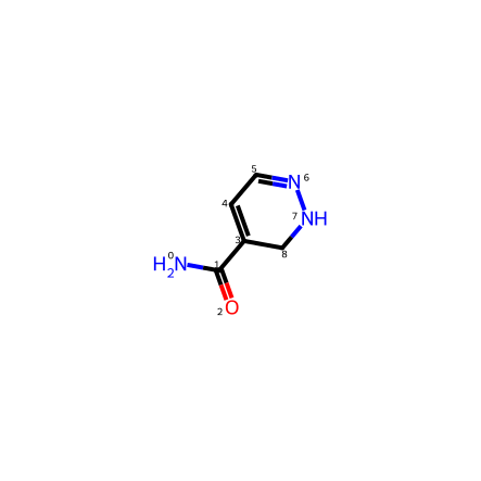 NC(=O)C1=CC=NNC1